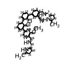 C=C1CC[C@@H](CNCc2ccc(-c3cccc(-c4cccc(-c5cnc(CNC[C@@H]6CCC(=C)N6)c(OC)n5)c4Cl)c3Cl)cc2C#N)N1